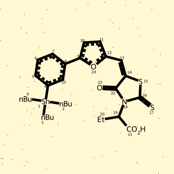 CCC[CH2][Sn]([CH2]CCC)([CH2]CCC)[c]1cccc(-c2ccc(C=C3SC(=S)N(C(CC)C(=O)O)C3=O)o2)c1